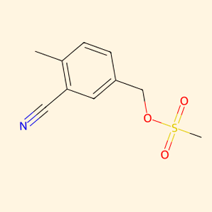 Cc1ccc(COS(C)(=O)=O)cc1C#N